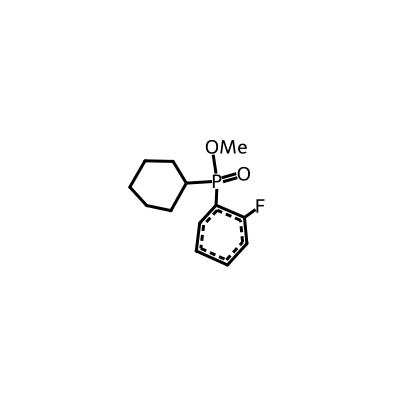 COP(=O)(c1ccccc1F)C1CCCCC1